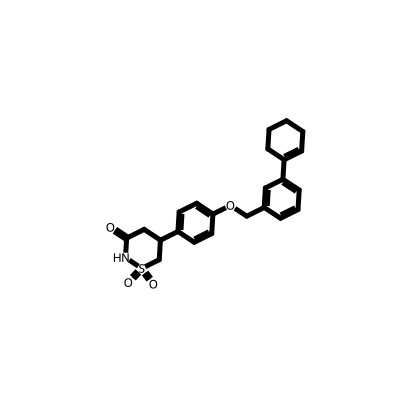 O=C1CC(c2ccc(OCc3cccc(C4=CCCCC4)c3)cc2)CS(=O)(=O)N1